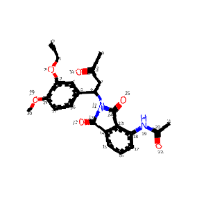 CCOc1cc(C(CC(C)=O)N2C(=O)c3cccc(NC(C)=O)c3C2=O)ccc1OC